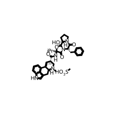 CC(C)[C@@]1(NC(=O)[C@H]2C=C3c4cccc5[nH]cc(c45)C[C@H]3N(C)C2)O[C@@]2(O)[C@@H]3CCCN3C(=O)[C@H](Cc3ccccc3)N2C1=O.CS(=O)(=O)O